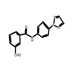 O=Cc1cccc(C(=O)Nc2ccc(-n3nccn3)cc2)c1